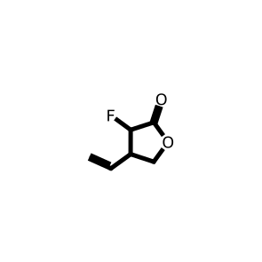 C=CC1COC(=O)C1F